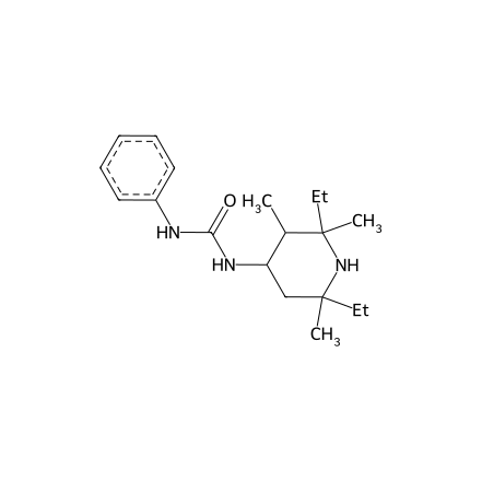 CCC1(C)CC(NC(=O)Nc2ccccc2)C(C)C(C)(CC)N1